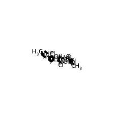 CN1CCN(c2cccc(Oc3cc(Cl)nc(NS(=O)(=O)c4cnn(C)c4)n3)c2Cl)CC1